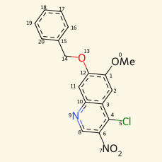 COc1cc2c(Cl)c([N+](=O)[O-])cnc2cc1OCc1ccccc1